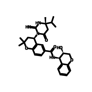 CC(C)[C@]1(C)CC(=O)N([C@@H]2CC(C)(C)Oc3ccc(C(=O)N[C@@H]4c5ccccc5OC[C@H]4O)cc32)C(=N)N1